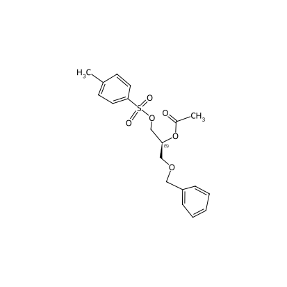 CC(=O)O[C@@H](COCc1ccccc1)COS(=O)(=O)c1ccc(C)cc1